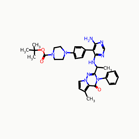 Cc1ccn2nc(C(C)Nc3ncnc(N)c3-c3ccc(N4CCN(C(=O)OC(C)(C)C)CC4)cc3)n(-c3ccccc3)c(=O)c12